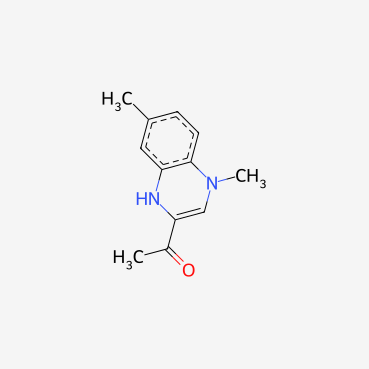 CC(=O)C1=CN(C)c2ccc(C)cc2N1